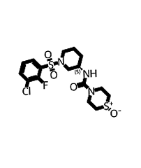 O=C(N[C@H]1CCCN(S(=O)(=O)c2cccc(Cl)c2F)C1)N1CC[S+]([O-])CC1